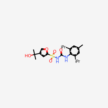 Cc1cc(C(C)C)c(NC(=O)NS(=O)(=O)c2cc(C(C)(C)O)co2)c(C(C)C)c1